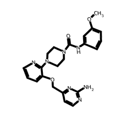 COc1cccc(NC(=O)N2CCN(c3ncccc3OCc3ccnc(N)n3)CC2)c1